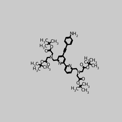 CC(C)(C)OC(=O)CN(CC(=O)OC(C)(C)C)Cc1cccc(-c2cc(C#Cc3ccc(N)cc3)cc(CN(CC(=O)OC(C)(C)C)CC(=O)OC(C)(C)C)n2)n1